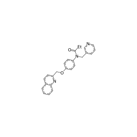 CCC(=O)N(Cc1cccnc1)c1ccc(OCc2ccc3ccccc3n2)cc1